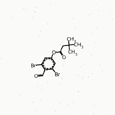 CC(C)(C)CC(=O)Oc1cc(Br)c(C=O)c(Br)c1